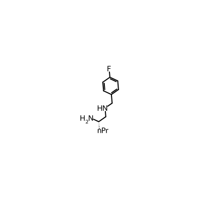 CCC[C@H](N)CNCc1ccc(F)cc1